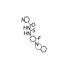 O=C(NC(=S)Nc1ccc(N2CCc3ccccc3C2)c(F)c1)c1cccnc1